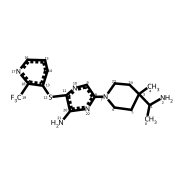 CC(N)C1(C)CCN(c2cnc(Sc3cccnc3C(F)(F)F)c(N)n2)CC1